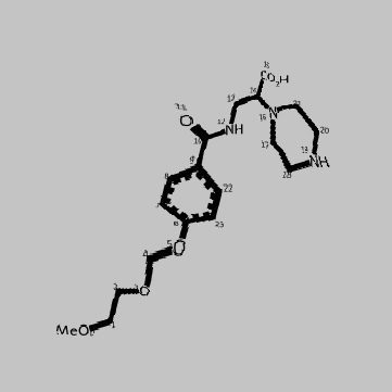 COCCOCOc1ccc(C(=O)NCC(C(=O)O)N2CCNCC2)cc1